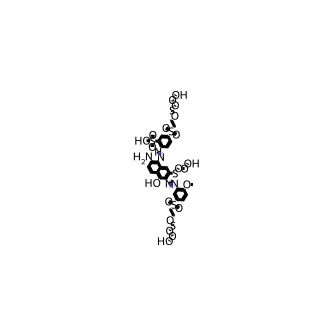 COc1ccc(S(=O)(=O)CCOSOOO)cc1/N=N/c1c(SOOO)cc2c(/N=N/c3ccc(S(=O)(=O)CCOSOOO)cc3S(=O)(=O)O)c(N)ccc2c1O